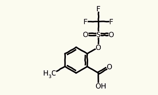 Cc1ccc(OS(=O)(=O)C(F)(F)F)c(C(=O)O)c1